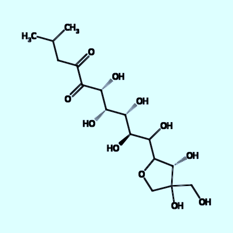 CC(C)CC(=O)C(=O)[C@H](O)[C@@H](O)[C@H](O)[C@H](O)C(O)C1OCC(O)(CO)[C@H]1O